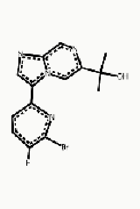 CC(C)(O)c1cn2c(-c3ccc(F)c(Br)n3)cnc2cn1